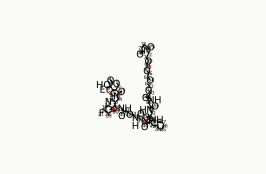 CC[C@@]1(O)C(=O)OCc2c1cc1n(c2=O)Cc2c-1nc1cc(F)c(C)c3c1c2[C@@H](NC(=O)COCNC(=O)CNC(=O)C(Cc1ccccc1)NC(=O)CNC(=O)CNC(=O)COCCOCCOCCOCCN1C(=O)C=CC1=O)C3